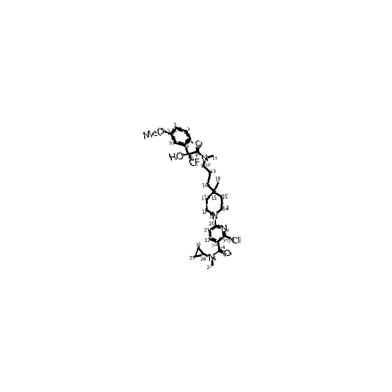 COc1cccc(C(O)(C(=O)N(C)CCCC2(C)CCN(c3ccc(C(=O)N(C)C4CC4)c(Cl)n3)CC2)C(F)(F)F)c1